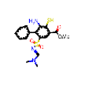 COC(=O)c1cc(S(=O)(=O)N=CN(C)C)c(-c2ccccc2)c(N)c1S